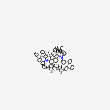 Cc1cccc(N(c2cccc(-c3ccccc3-c3ccccc3-c3ccccc3)c2)c2cc(C(C)(C)C)c3ccc4c(N(c5cccc(C)c5)c5cccc(C6(c7ccccc7)c7ccccc7-c7ccccc76)c5)cc(C(C)(C)C)c5ccc2c3c45)c1